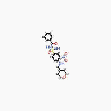 N=S(=O)(NC(=O)c1ccccc1)c1ccc(NCC2CCOCC2)c([N+](=O)[O-])c1